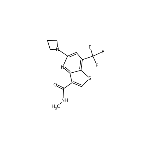 CNC(=O)c1csc2c(C(F)(F)F)cc(N3C[CH]C3)nc12